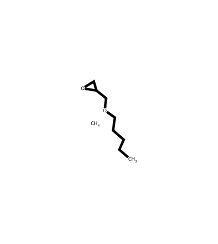 C.CCCCCOCC1CO1